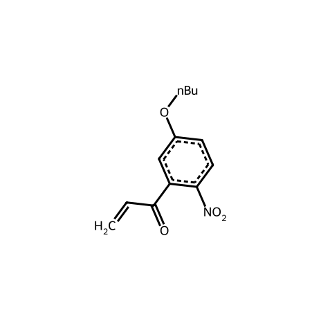 C=CC(=O)c1cc(OCCCC)ccc1[N+](=O)[O-]